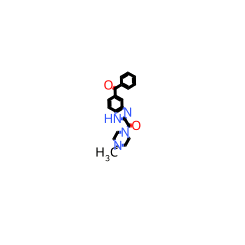 CN1CCN(C(=O)c2nc3cc(C(=O)c4ccccc4)ccc3[nH]2)CC1